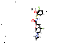 CCOc1c(F)cccc1SNC(=O)c1cc2c(F)cc(N3CCC3)cc2o1